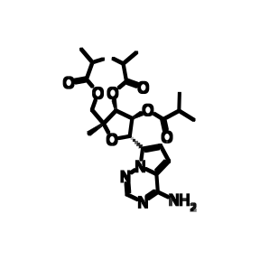 CC(C)C(=O)OC[C@@]1(C)O[C@@H](c2ccc3c(N)ncnn23)[C@H](OC(=O)C(C)C)[C@@H]1OC(=O)C(C)C